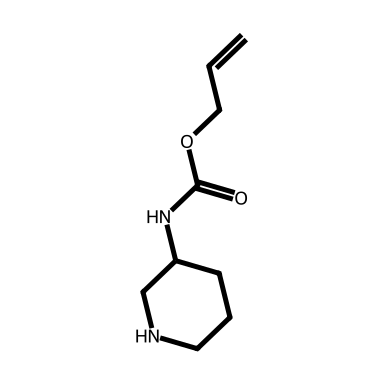 C=CCOC(=O)NC1CCCNC1